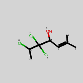 CC(C)=CC(O)C(Cl)(Cl)C(C)Cl